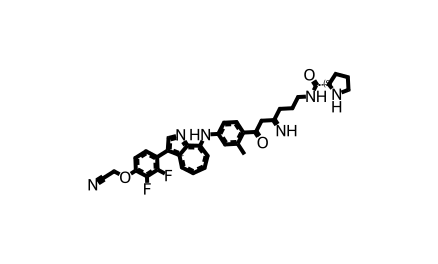 Cc1cc(Nc2ccccc3c(-c4ccc(OCC#N)c(F)c4F)cnc2-3)ccc1C(=O)CC(=N)CCCNC(=O)[C@@H]1CCCN1